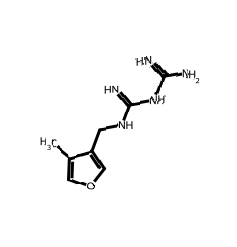 Cc1cocc1CNC(=N)NC(=N)N